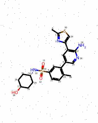 Cc1nc(-c2cc(-c3cc(S(=O)(=O)N[C@H]4CC[C@H](O)CC4)ccc3C)cnc2N)cs1